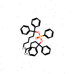 CCCCCC(OP(=O)(OC(CCCCC)(c1ccccc1)c1ccccc1)c1ccccc1)(c1ccccc1)c1ccccc1